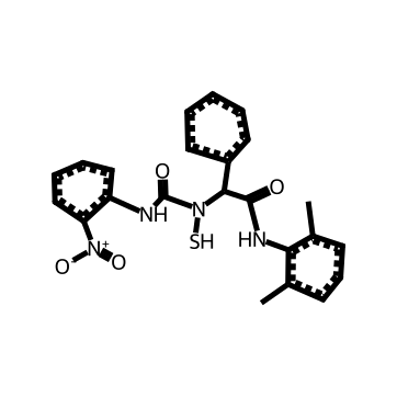 Cc1cccc(C)c1NC(=O)C(c1ccccc1)N(S)C(=O)Nc1ccccc1[N+](=O)[O-]